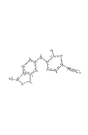 [C-]#[N+]c1ccc(Oc2ccc3c(c2)CCB3O)c(C)c1